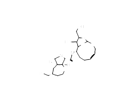 CC(C)C[C@@H]1CCO[C@@H]2[C@H](CN[C@@H]2C(=O)N[C@@H]2CC/C=C\CSC3OC(CO)C(O)C2O3)C1